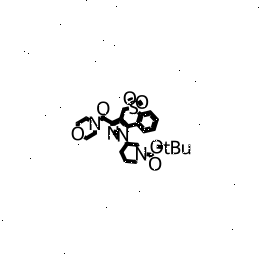 CC(C)(C)OC(=O)N1CCCC(n2nc(C(=O)N3CCOCC3)c3c2-c2ccccc2S(=O)(=O)C3)C1